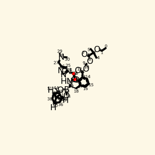 CCOC(C)(C)C(=O)OCOC(=O)c1cccc(C[C@H](NC(=O)Cn2cc(CN(C)C)nn2)B2O[C@@H]3C[C@@H]4C[C@@H](C4(C)C)[C@]3(C)O2)c1OC